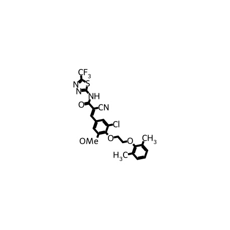 COc1cc(/C=C(\C#N)C(=O)Nc2nnc(C(F)(F)F)s2)cc(Cl)c1OCCOc1c(C)cccc1C